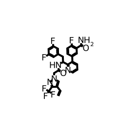 C=Cc1cn(CC(=O)NC(Cc2cc(F)cc(F)c2)c2ncccc2-c2ccc(F)c(C(N)=O)c2)nc1C(F)(F)F